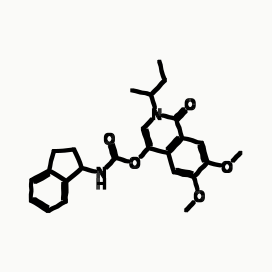 CCC(C)n1cc(OC(=O)NC2CCc3ccccc32)c2cc(OC)c(OC)cc2c1=O